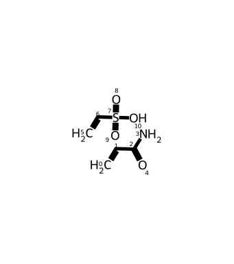 C=CC(N)=O.C=CS(=O)(=O)O